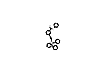 O=C(Sc1ccccc1)c1cccc(C#[C][Au][PH](c2ccccc2)(c2ccccc2)c2ccccc2)c1